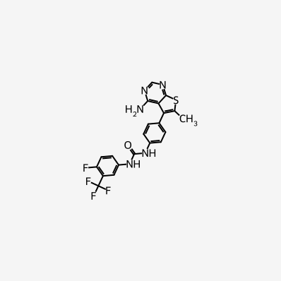 Cc1sc2ncnc(N)c2c1-c1ccc(NC(=O)Nc2ccc(F)c(C(F)(F)F)c2)cc1